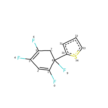 FC1=[C]C(F)=C(F)[CH]C1(F)c1cccs1